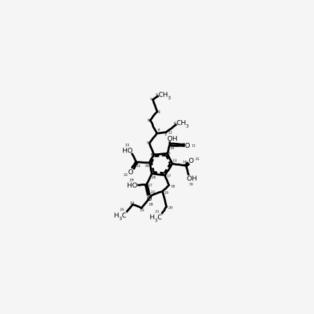 CCCCC(CC)Cc1c(C(=O)O)c(C(=O)O)c(CC(CC)CCCC)c(C(=O)O)c1C(=O)O